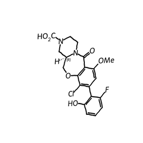 COc1cc(-c2c(O)cccc2F)c(Cl)c2c1C(=O)N1CCN(C(=O)O)C[C@@H]1CO2